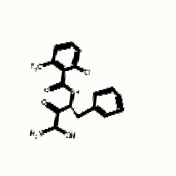 NC(O)C(=O)[C@H](Cc1ccccc1)NC(=O)c1c(Cl)cccc1C(F)(F)F